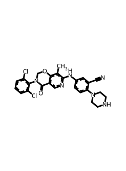 Cc1c(Nc2ccc(N3CCNCC3)c(C#N)c2)ncc2c1OCN(c1c(Cl)cccc1Cl)C2=O